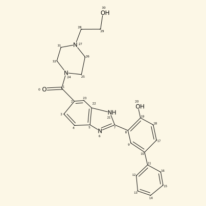 O=C(c1ccc2nc(-c3cc(-c4ccccc4)ccc3O)[nH]c2c1)N1CCN(CCO)CC1